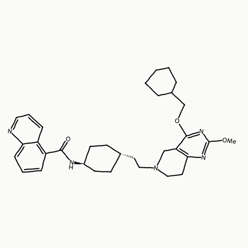 COc1nc2c(c(OCC3CCCCC3)n1)CN(CC[C@H]1CC[C@H](NC(=O)c3cccc4ncccc34)CC1)CC2